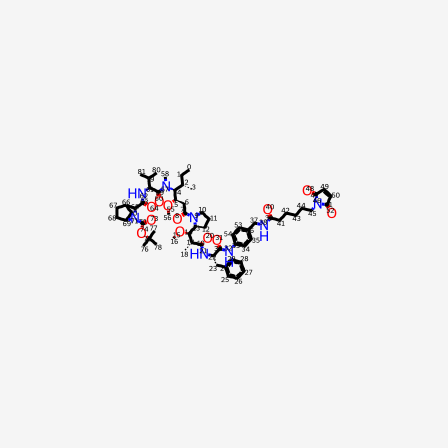 CC[C@H](C)[C@@H]([C@@H](CC(=O)N1CCC[C@H]1[C@H](OC)[C@@H](C)C(=O)N[C@@H](Cc1ccccc1)C(=O)Nc1ccc(CNC(=O)CCCCCN2C(=O)C=CC2=O)cc1)OC)N(C)C(=O)[C@@H](NC(=O)C1C2CCC(C2)N1C(=O)OC(C)(C)C)C(C)C